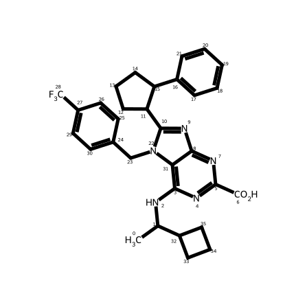 CC(Nc1nc(C(=O)O)nc2nc(C3CCCC3c3ccccc3)n(Cc3ccc(C(F)(F)F)cc3)c12)C1CCC1